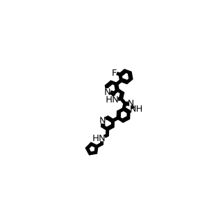 Fc1ccccc1-c1ccnc2[nH]c(-c3n[nH]c4ccc(-c5cncc(CNCC6CCCC6)c5)cc34)cc12